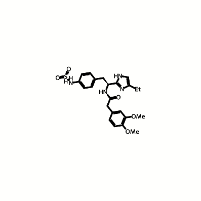 CCc1c[nH]c([C@H](Cc2ccc(N[SH](=O)=O)cc2)NC(=O)Cc2ccc(OC)c(OC)c2)n1